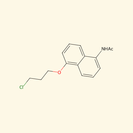 CC(=O)Nc1cccc2c(OCCCCl)cccc12